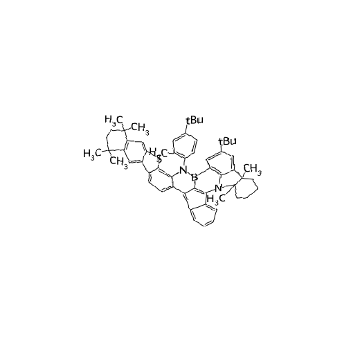 Cc1cc(C(C)(C)C)ccc1N1B2c3cc(C(C)(C)C)cc4c3N(c3c2c(cc2ccccc32)-c2ccc3c(sc5cc6c(cc53)C(C)(C)CCC6(C)C)c21)C1(C)CCCCC41C